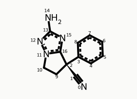 N#C[C@@]1(c2ccccc2)CCn2nc(N)nc21